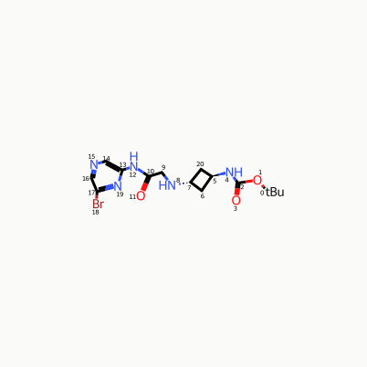 CC(C)(C)OC(=O)N[C@H]1C[C@H](NCC(=O)Nc2cncc(Br)n2)C1